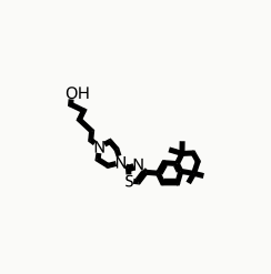 CC1(C)CCC(C)(C)c2cc(-c3csc(N4CCN(CCCCCO)CC4)n3)ccc21